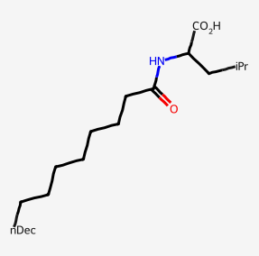 CCCCCCCCCCCCCCCCCC(=O)NC(CC(C)C)C(=O)O